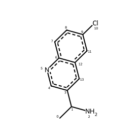 CC(N)c1cnc2ccc(Cl)cc2c1